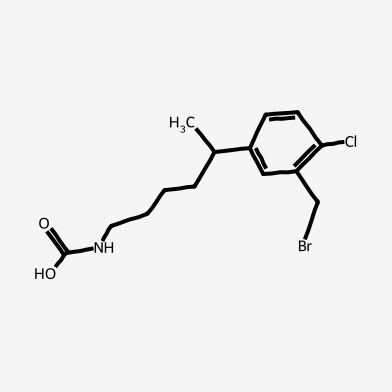 CC(CCCCNC(=O)O)c1ccc(Cl)c(CBr)c1